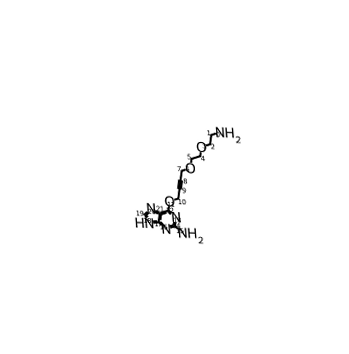 NCCOCCOCC#CCOc1nc(N)nc2[nH]cnc12